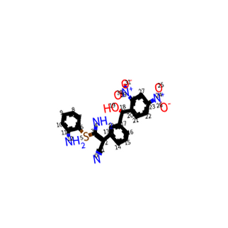 N#C/C(=C(/N)Sc1ccccc1N)c1cccc(C(O)c2ccc([N+](=O)[O-])cc2[N+](=O)[O-])c1